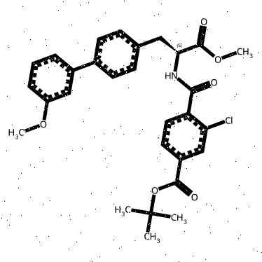 COC(=O)[C@H](Cc1ccc(-c2cccc(OC)c2)cc1)NC(=O)c1ccc(C(=O)OC(C)(C)C)cc1Cl